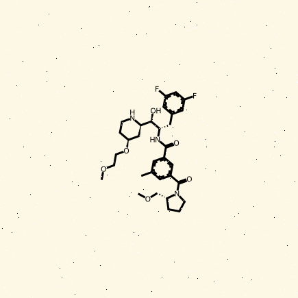 COCCO[C@H]1CCN[C@@H]([C@@H](O)[C@H](Cc2cc(F)cc(F)c2)NC(=O)c2cc(C)cc(C(=O)N3CCC[C@@H]3COC)c2)C1